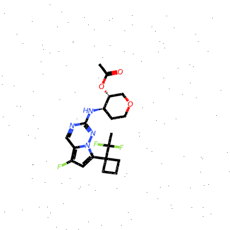 CC(=O)O[C@@H]1COCC[C@H]1Nc1ncc2c(F)cc(C3(C(C)(F)F)CCC3)n2n1